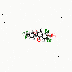 CCc1oc2cc(C(F)(F)F)ccc2c1C(=O)c1cc(Br)c(O)c(Br)c1